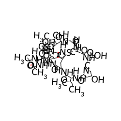 CC[C@H](C)[C@@H]1CNC(=O)CNC(=O)[C@@H]2Cc3c([nH]c4cc(OS(=O)(=O)O)c(NC(=O)C(NC(C)=O)NC(C)=O)cc34)SC[C@H](NC(=O)CNC1=O)C(=O)N[C@@H](CC(=O)O)CN1C[C@H](O)C[C@H]1C(=O)N[C@@H]([C@@H](C)CC)C(=O)N2